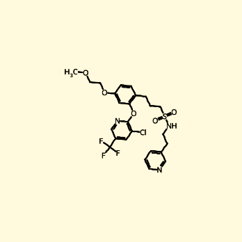 COCCOc1ccc(CCCS(=O)(=O)NCCc2cccnc2)c(Oc2ncc(C(F)(F)F)cc2Cl)c1